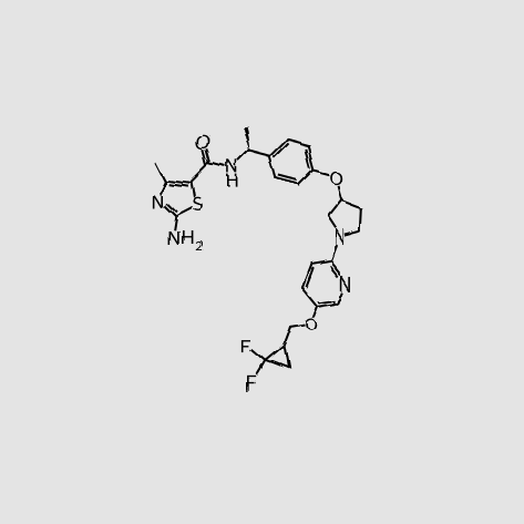 Cc1nc(N)sc1C(=O)N[C@@H](C)c1ccc(OC2CCN(c3ccc(OCC4CC4(F)F)cn3)C2)cc1